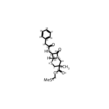 CSCOC(=O)C1(C)CS[C@@H]2C(NC(=O)Cc3ccccc3)C(=O)N2C1